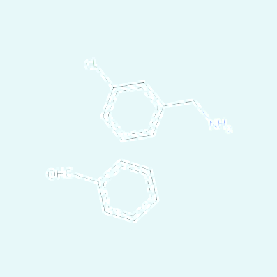 NCc1cccc(Cl)c1.O=Cc1ccccc1